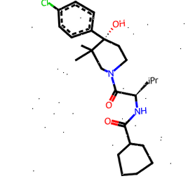 CC(C)[C@@H](NC(=O)C1CCCCC1)C(=O)N1CC[C@](O)(c2ccc(Cl)cc2)C(C)(C)C1